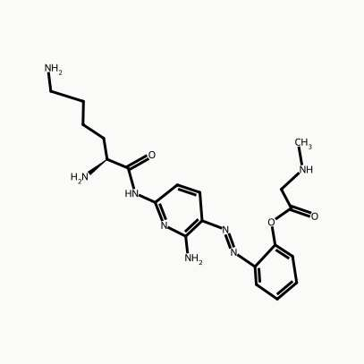 CNCC(=O)Oc1ccccc1/N=N/c1ccc(NC(=O)[C@@H](N)CCCCN)nc1N